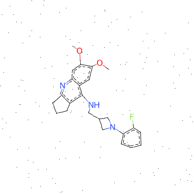 COc1cc2nc3c(c(NCC4CN(c5ccccc5F)C4)c2cc1OC)CCC3